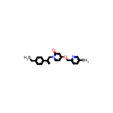 BCc1ccc(C(=C)Cn2ccc(OCc3ccc(B)cn3)cc2=O)cc1